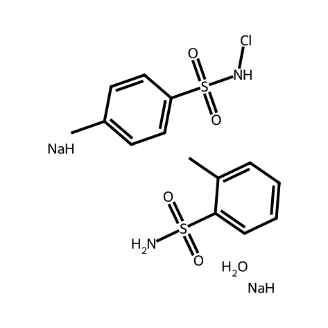 Cc1ccc(S(=O)(=O)NCl)cc1.Cc1ccccc1S(N)(=O)=O.O.[NaH].[NaH]